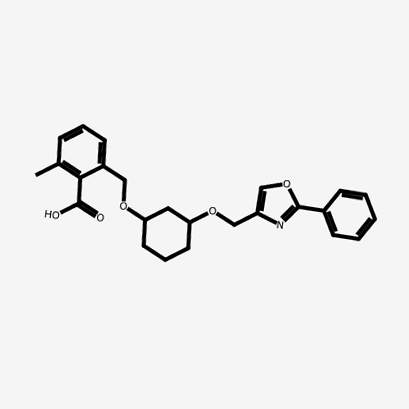 Cc1cccc(COC2CCCC(OCc3coc(-c4ccccc4)n3)C2)c1C(=O)O